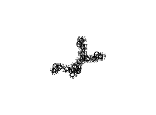 c1ccc(N(c2ccc(-c3ccc4oc5ccccc5c4c3)cc2)c2ccc(-c3ccc(-n4c5ccc(-c6ccc7c(c6)oc6ccccc67)cc5c5cc(-c6ccc7c(c6)oc6ccccc67)ccc54)cc3)c3nsnc23)cc1